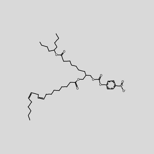 CCCCC/C=C\C/C=C\CCCCCCCC(=O)OCC(CCCCCCC(=O)OC(CCCC)CCCC)COC(=O)Oc1ccc([N+](=O)[O-])cc1